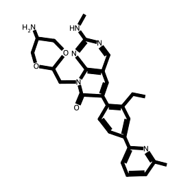 CCc1cc(-c2cccc(C)n2)ccc1-c1cc2cnc(NC)nc2n(CC2OCC(N)CO2)c1=O